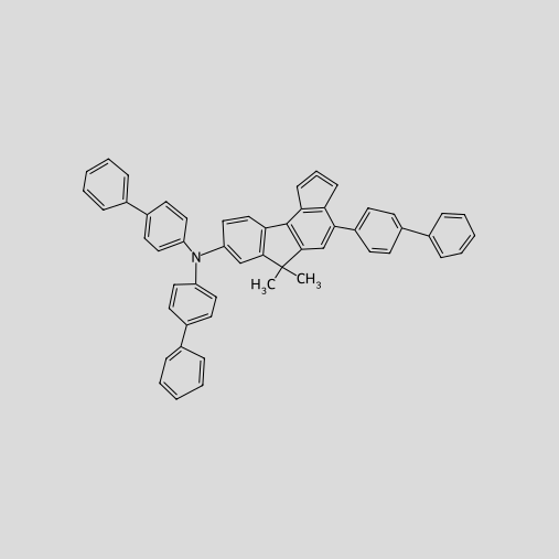 CC1(C)c2cc(N(c3ccc(-c4ccccc4)cc3)c3ccc(-c4ccccc4)cc3)ccc2-c2c1cc(-c1ccc(-c3ccccc3)cc1)c1c2C=C=C1